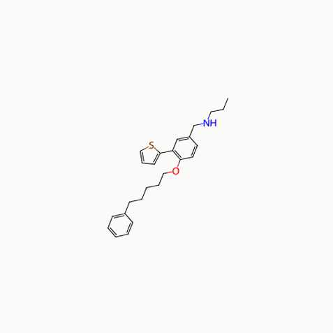 CCCNCc1ccc(OCCCCCc2ccccc2)c(-c2cccs2)c1